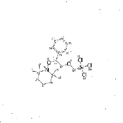 CC1(C)CCCC(C)(C)N1OC(COC[Si](Cl)(Cl)Cl)c1ccccc1